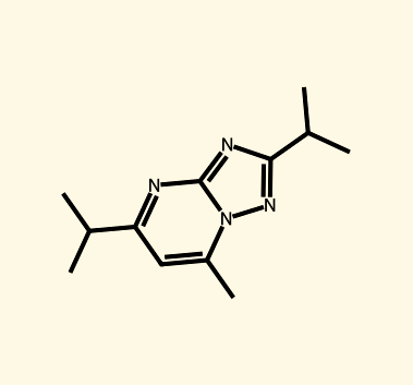 Cc1cc(C(C)C)nc2nc(C(C)C)nn12